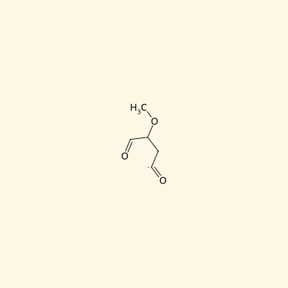 COC(C=O)C[C]=O